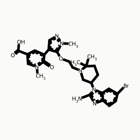 Cn1ncc(-c2cc(C(=O)O)cn(C)c2=O)c1OCCN1CC(n2c(N)nc3ccc(Br)cc32)CCC1(C)C